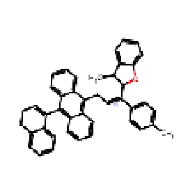 Cc1ccc(/C(=C/Cc2c3ccccc3c(C3=CCCc4ccccc43)c3ccccc23)C2Oc3ccccc3C2C)cc1